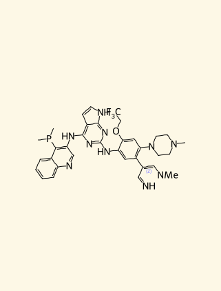 CN/C=C(\C=N)c1cc(Nc2nc(Nc3cnc4ccccc4c3P(C)C)c3cc[nH]c3n2)c(OCC(F)(F)F)cc1N1CCN(C)CC1